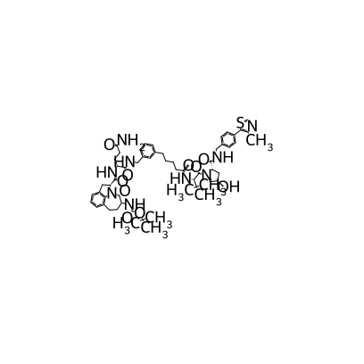 Cc1ncsc1-c1ccc(CNC(=O)[C@@H]2C[C@@H](O)CN2C(=O)[C@@H](NC(=O)CCCCc2cccc(CNC(=O)[C@H](CCC(N)=O)NC(=O)[C@@H]3Cc4cccc5c4N3C(=O)[C@@H](NC(=O)OC(C)(C)C)CC5)c2)C(C)(C)C)cc1